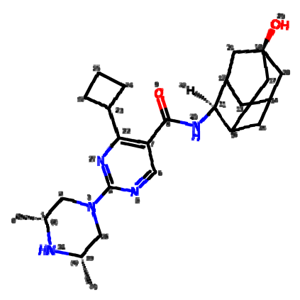 C[C@@H]1CN(c2ncc(C(=O)N[C@H]3C4CC5CC3C[C@@](O)(C5)C4)c(C3CCC3)n2)C[C@H](C)N1